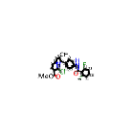 COC(=O)c1ccc2cc(C(F)(F)F)c(-c3ccc(NC(=O)c4c(F)cccc4F)cc3)n2c1Cl